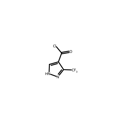 O=C(Cl)c1c[nH]nc1C(F)(F)F